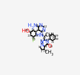 Cc1ccn2nc(C(C)Nc3ncnc(N)c3-c3cc(O)cc(F)c3)n(-c3ccccc3)c(=O)c12